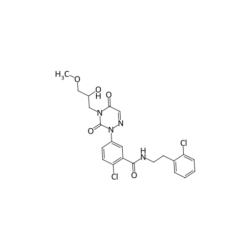 COCC(O)Cn1c(=O)cnn(-c2ccc(Cl)c(C(=O)NCCc3ccccc3Cl)c2)c1=O